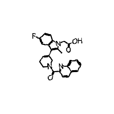 Cc1c(C2=CCCN(C(=O)c3ccc4ccccc4n3)C2)c2cc(F)ccc2n1CC(=O)O